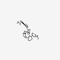 Cc1cccc(Cl)c1NC(=O)C/C=N/N